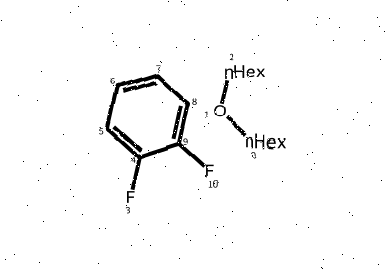 CCCCCCOCCCCCC.Fc1ccccc1F